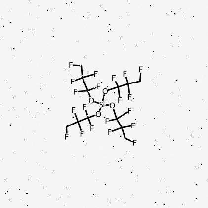 FCC(F)(F)C(F)(F)O[Si](OC(F)(F)C(F)(F)CF)(OC(F)(F)C(F)(F)CF)OC(F)(F)C(F)(F)CF